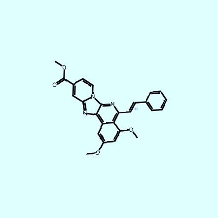 COC(=O)c1ccn2c(c1)nc1c3cc(OC)cc(OC)c3c(/C=C/c3ccccc3)nc12